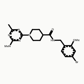 CNc1nc(C)nc(N2CCC(C(=O)NCc3ccc(Br)cc3OC)CC2)n1